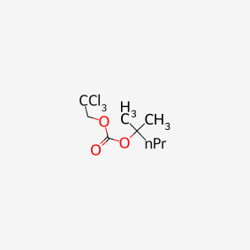 CCCC(C)(C)OC(=O)OCC(Cl)(Cl)Cl